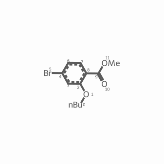 CCCCOc1cc(Br)ccc1C(=O)OC